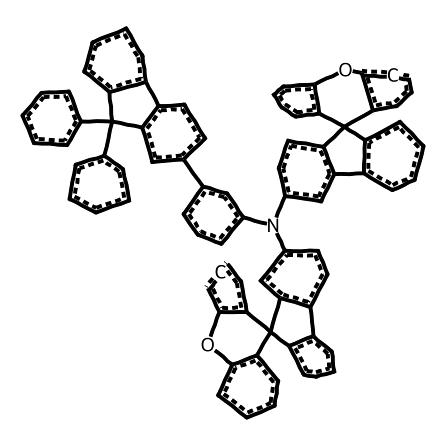 c1ccc(C2(c3ccccc3)c3ccccc3-c3ccc(-c4cccc(N(c5ccc6c(c5)-c5ccccc5C65c6ccccc6Oc6ccccc65)c5ccc6c(c5)C5(c7ccccc7Oc7ccccc75)c5ccccc5-6)c4)cc32)cc1